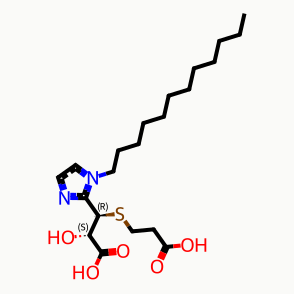 CCCCCCCCCCCCn1ccnc1[C@@H](SCCC(=O)O)[C@@H](O)C(=O)O